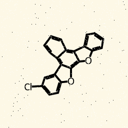 Clc1ccc2oc3c4oc5ccccc5c4c4ccccc4c3c2c1